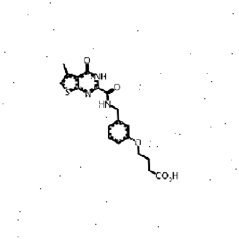 Cc1csc2nc(C(=O)NCc3cccc(OCCCC(=O)O)c3)[nH]c(=O)c12